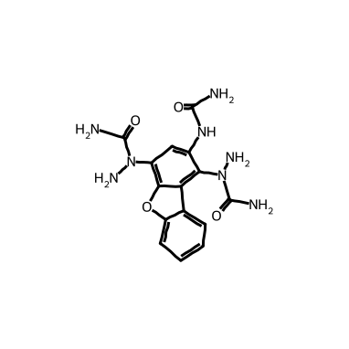 NC(=O)Nc1cc(N(N)C(N)=O)c2oc3ccccc3c2c1N(N)C(N)=O